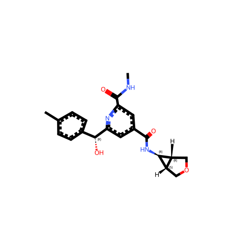 CNC(=O)c1cc(C(=O)N[C@H]2[C@@H]3COC[C@@H]32)cc([C@H](O)c2ccc(C)cc2)n1